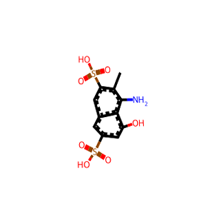 Cc1c(S(=O)(=O)O)cc2cc(S(=O)(=O)O)cc(O)c2c1N